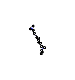 CC1(C)c2ccccc2-c2ccc(-n3c4ccccc4c4cc(-c5ccc6c(c5)C(C)(C)c5cc7c(cc5-6)C(C)(C)c5cc(/C=C/c6ccc(-c8ccc9c(c8)c8ccccc8n9-c8ccccc8)cc6)ccc5-7)ccc43)cc21